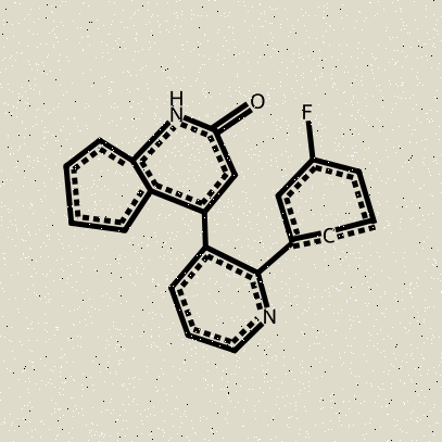 O=c1cc(-c2cccnc2-c2cccc(F)c2)c2ccccc2[nH]1